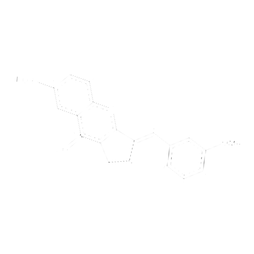 COc1cccc(/C=C2\CCc3c2oc2ccc(C(=O)O)cc2c3=O)c1